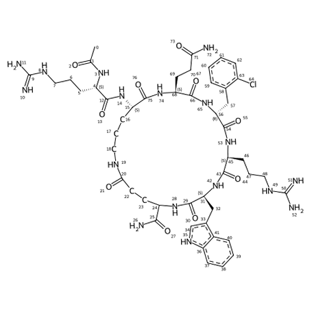 CC(=O)N[C@@H](CCCNC(=N)N)C(=O)N[C@H]1CCCNC(=O)CCC(C(N)=O)NC(=O)[C@H](Cc2c[nH]c3ccccc23)NC(=O)[C@H](CCCNC(=N)N)NC(=O)[C@@H](Cc2ccccc2Cl)NC(=O)[C@H](CCC(N)=O)NC1=O